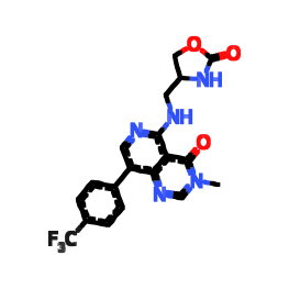 Cn1cnc2c(-c3ccc(C(F)(F)F)cc3)cnc(NCC3COC(=O)N3)c2c1=O